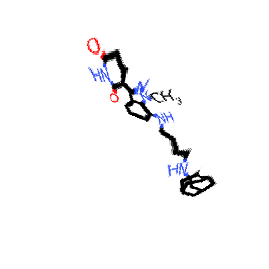 Cn1nc(C2CCC(=O)NC2=O)c2cccc(NCCCCNC34CC5CC(CC(C5)C3)C4)c21